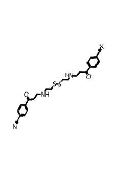 N#Cc1ccc(C(=O)CCNCCSSCCNCCC(=O)c2ccc(C#N)cc2)cc1